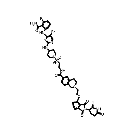 NC(=O)c1c(F)cccc1Nc1nc(NC2CCN(S(=O)(=O)CCNC(=O)c3ccc4c(c3)CCN(CCOc3cccc5c3C(=O)N(C3CCC(=O)NC3=O)C5=O)C4)CC2)ncc1Br